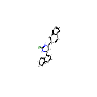 Clc1nc(-c2ccc3ccccc3c2)cc(-c2cccc3ccccc23)n1